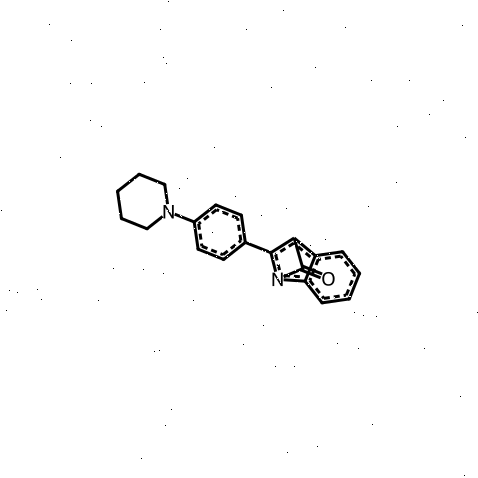 O=C1c2c(-c3ccc(N4CCCCC4)cc3)n1c1ccccc21